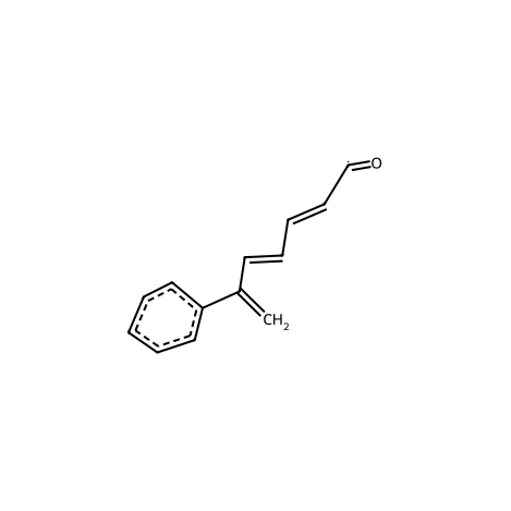 C=C(C=CC=C[C]=O)c1ccccc1